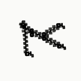 CCCCCCCCCCCCC(CCOC(=O)CCCCC(OCCCCCCCC)OCCCCCCCC)N1CCCC1